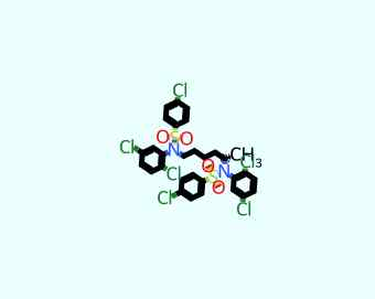 C[C@H](CCCCN(c1cc(Cl)ccc1Cl)S(=O)(=O)c1ccc(Cl)cc1)N(c1cc(Cl)ccc1Cl)S(=O)(=O)c1ccc(Cl)cc1